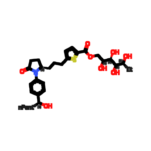 CCCCC[C@H](O)c1ccc(N2C(=O)CC[C@@H]2CCCc2ccc(C(=O)OC[C@H](O)[C@H](O)[C@H](O)[C@@H](O)CC)s2)cc1